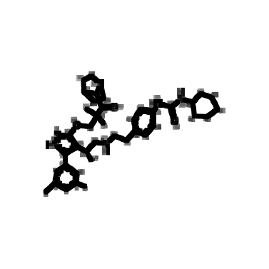 Cc1cc(C)cc(-c2[nH]nc(OCC(C)(C)C(=O)C3C4CCN3CC4)c2[C@H](C)CNCCc2ccc(NC(=O)NC3CCCCC3)cc2)c1